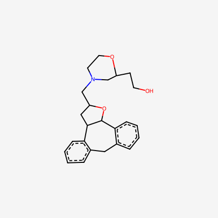 OCCC1CN(CC2CC3c4ccccc4Cc4ccccc4C3O2)CCO1